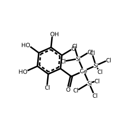 O=[C](c1c(Cl)c(O)c(O)c(O)c1Cl)[Ge]([Si](Cl)(Cl)Cl)([Si](Cl)(Cl)Cl)[Si](Cl)(Cl)Cl